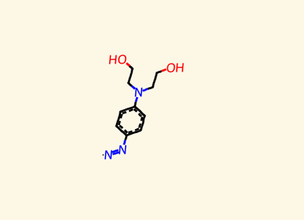 [N]=Nc1ccc(N(CCO)CCO)cc1